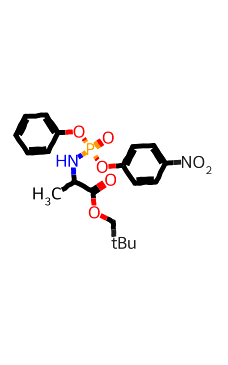 CC(NP(=O)(Oc1ccccc1)Oc1ccc([N+](=O)[O-])cc1)C(=O)OCC(C)(C)C